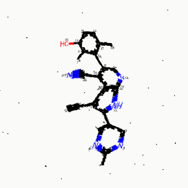 C#Cc1c(-c2cnc(C)nc2)[nH]c2ncc(-c3c(C)ccc(O)c3C)c(C#N)c12